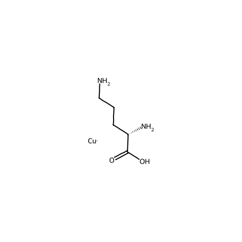 NCCC[C@H](N)C(=O)O.[Cu]